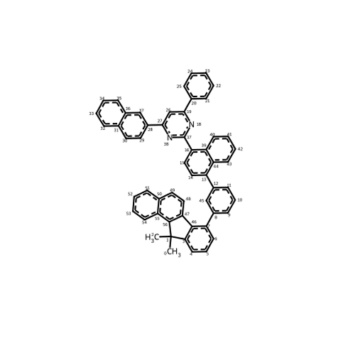 CC1(C)c2cccc(-c3cccc(-c4ccc(-c5nc(-c6ccccc6)cc(-c6ccc7ccccc7c6)n5)c5ccccc45)c3)c2-c2ccc3ccccc3c21